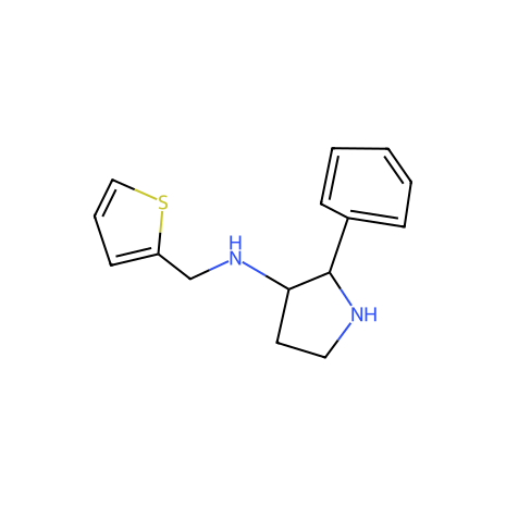 c1ccc(C2NCCC2NCc2cccs2)cc1